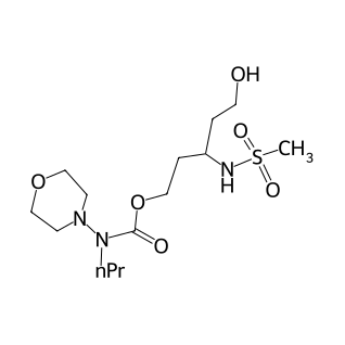 [CH2]CCN(C(=O)OCCC(CCO)NS(C)(=O)=O)N1CCOCC1